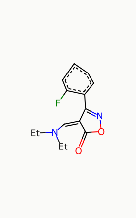 CCN(/C=C1\C(=O)ON=C1c1ccccc1F)CC